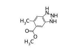 COC(=O)c1cc2c(cc1C)NNN2